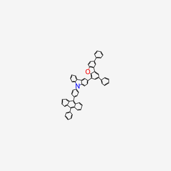 c1ccc(-c2ccc3oc4c(-c5ccc6c(c5)c5ccccc5n6-c5ccc(-c6c7ccccc7c(-c7ccccc7)c7ccccc67)cc5)cc(-c5ccccc5)cc4c3c2)cc1